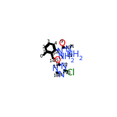 Cc1cccc(N(N)C(=O)N(C)N)c1COc1ncnc(Cl)n1